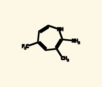 CC1=C(N)NC=CC(C(F)(F)F)=C1